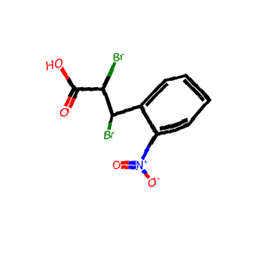 O=C(O)C(Br)C(Br)c1ccccc1[N+](=O)[O-]